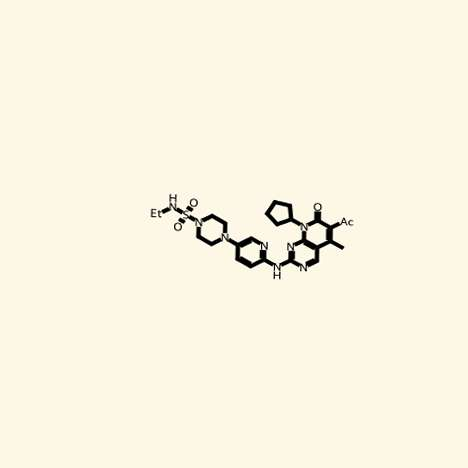 CCNS(=O)(=O)N1CCN(c2ccc(Nc3ncc4c(C)c(C(C)=O)c(=O)n(C5CCCC5)c4n3)nc2)CC1